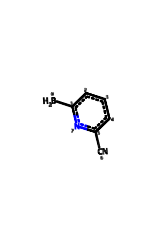 Bc1cccc(C#N)n1